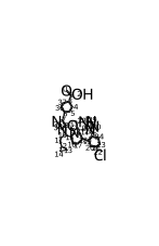 O=C(O)c1ccc(-c2cn(C(CC3CC3)c3ccc(-c4cc(Cl)ccc4-n4cnnn4)c[n+]3[O-])cn2)cc1